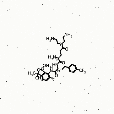 CC1(C)OB(O)c2c1ccc(F)c2NC(=O)[C@@H](CCc1ccc(C(F)(F)F)cc1)NC(=O)[C@@H](N)CCC(=O)N(CCN)CCN